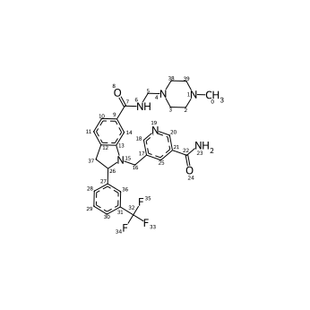 CN1CCN(CNC(=O)c2ccc3c(c2)N(Cc2cncc(C(N)=O)c2)C(c2cccc(C(F)(F)F)c2)C3)CC1